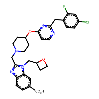 O=C(O)c1ccc2nc(CN3CCC(Oc4ccnc(Cc5ccc(Cl)cc5F)n4)CC3)n(CC3CCO3)c2c1